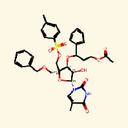 CC(=O)OCCC(O[C@H]1[C@@H](O)[C@H](n2cc(C)c(=O)[nH]c2=O)O[C@@]1(COCc1ccccc1)COS(=O)(=O)c1ccc(C)cc1)c1ccccc1